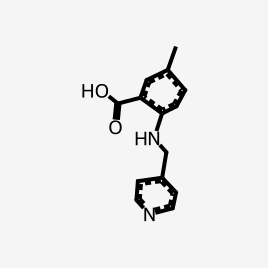 Cc1ccc(NCc2ccncc2)c(C(=O)O)c1